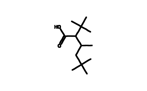 CC(CC(C)(C)C)C(C(=O)O)C(C)(C)C